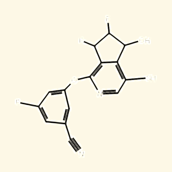 N#Cc1cc(F)cc(Oc2ncc(S)c3c2C(F)C(F)C3O)c1